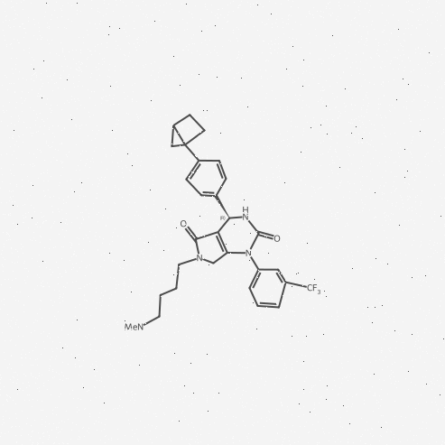 CNCCCCN1CC2=C(C1=O)[C@@H](c1ccc(C34CCC3C4)cc1)NC(=O)N2c1cccc(C(F)(F)F)c1